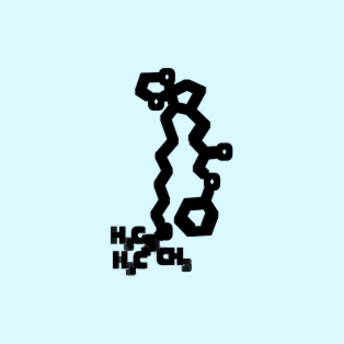 C[Si](C)(C)OCCCCCCCC1C(C=CC(=O)COc2ccccc2)CCC12OCCO2